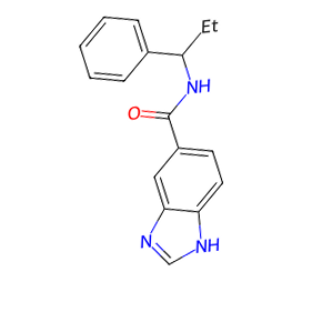 CCC(NC(=O)c1ccc2[nH]cnc2c1)c1ccccc1